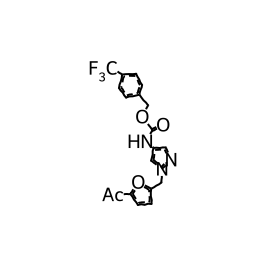 CC(=O)c1ccc(Cn2cc(NC(=O)OCc3ccc(C(F)(F)F)cc3)cn2)o1